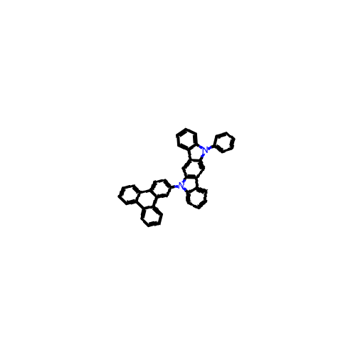 c1ccc(-n2c3ccccc3c3cc4c(cc32)c2ccccc2n4-c2ccc3c4ccccc4c4ccccc4c3c2)cc1